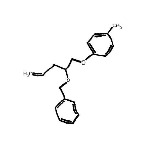 C=CCC(COc1ccc(C)cc1)OCc1ccccc1